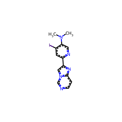 CN(C)c1cnc(-c2cn3cnccc3n2)cc1I